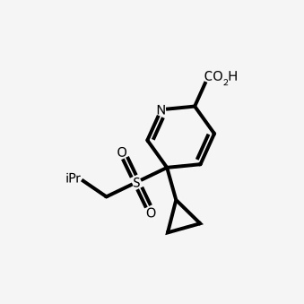 CC(C)CS(=O)(=O)C1(C2CC2)C=CC(C(=O)O)N=C1